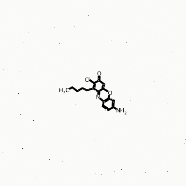 CCCCCc1c2nc3ccc(N)cc3oc-2cc(=O)c1Cl